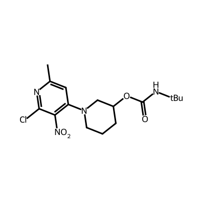 Cc1cc(N2CCCC(OC(=O)NC(C)(C)C)C2)c([N+](=O)[O-])c(Cl)n1